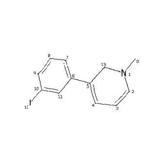 CN1C=CC=C(c2cccc(I)c2)C1